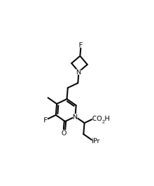 Cc1c(CCN2CC(F)C2)cn(C(CC(C)C)C(=O)O)c(=O)c1F